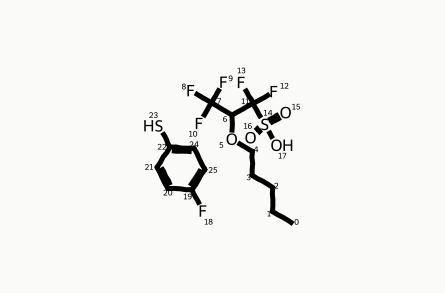 CCCCCOC(C(F)(F)F)C(F)(F)S(=O)(=O)O.Fc1ccc(S)cc1